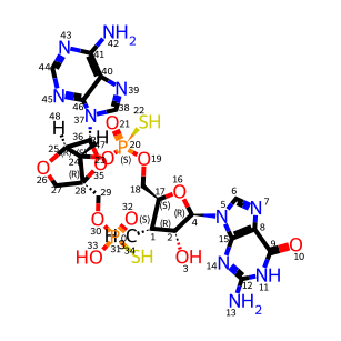 C[C@H]1[C@@H](O)[C@H](n2cnc3c(=O)[nH]c(N)nc32)O[C@@H]1CO[P@](=O)(S)O[C@H]1[C@H]2OC[C@]1(COP(=O)(O)S)O[C@H]2n1cnc2c(N)ncnc21